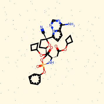 N#C[C@]1(c2ccc3c(N)ncnn23)CC[C@H](CO[P@](=O)(N[C@@H](CC(=O)OC2CCC2)C(=O)OC2CCC2)Oc2ccccc2)O1